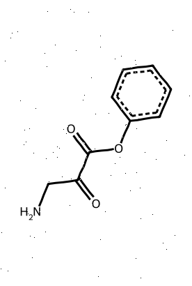 NCC(=O)C(=O)Oc1ccccc1